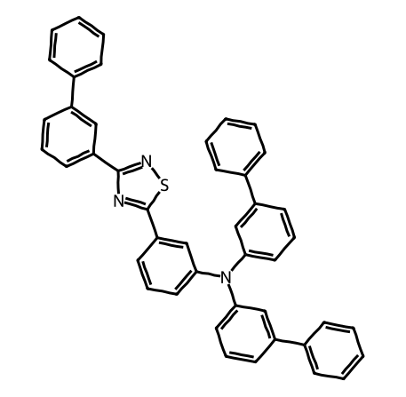 c1ccc(-c2cccc(-c3nsc(-c4cccc(N(c5cccc(-c6ccccc6)c5)c5cccc(-c6ccccc6)c5)c4)n3)c2)cc1